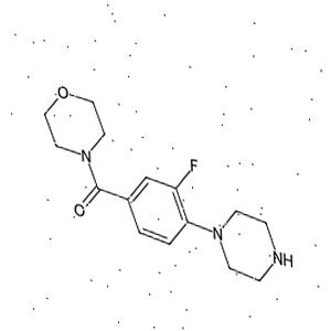 O=C(c1ccc(N2CCNCC2)c(F)c1)N1CCOCC1